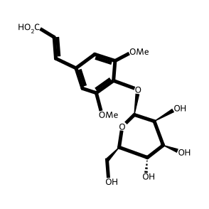 COc1cc(/C=C/C(=O)O)cc(OC)c1O[C@@H]1O[C@H](CO)[C@@H](O)[C@H](O)[C@@H]1O